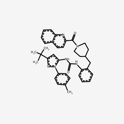 Cc1ccc(-n2nc(C(C)(C)C)cc2NC(=O)Nc2ccccc2CC2CCN(C(=O)c3ccc4ccccc4n3)CC2)cc1